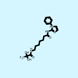 O=C(CCCCCCNC(=O)C(O)(O)C(F)(F)F)NC1=NC=C[SH]1c1ccccc1